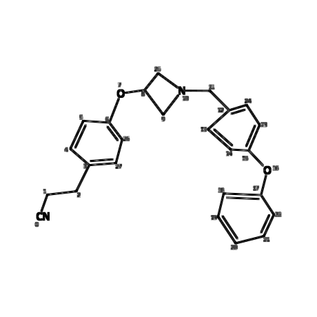 N#CCCc1ccc(OC2CN(Cc3ccc(Oc4ccccc4)cc3)C2)cc1